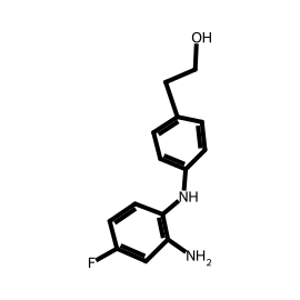 Nc1cc(F)ccc1Nc1ccc(CCO)cc1